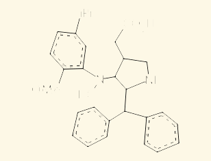 COc1ccc(C(C)C)cc1N(C)C1C(CC(=O)O)CNC1C(c1ccccc1)c1ccccc1